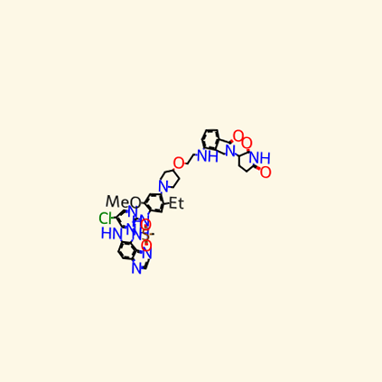 CCc1cc(Nc2ncc(Cl)c(Nc3ccc4nccnc4c3NS(C)(=O)=O)n2)c(OC)cc1N1CCC(OCCNc2cccc3c2CN(C2CCC(=O)NC2=O)C3=O)CC1